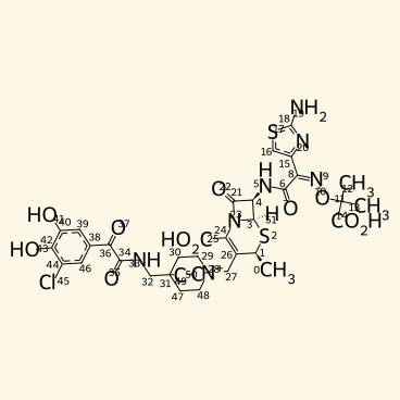 C[C@@H]1S[C@@H]2[C@H](NC(=O)/C(=N\OC(C)(C)C(=O)O)c3csc(N)n3)C(=O)N2C(C(=O)O)=C1C[N+]12CCC(CNC(=O)C(=O)c3cc(O)c(O)c(Cl)c3)(CC1)CC2